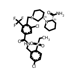 CCS(=O)(=O)c1ccc(Cl)cc1CNC(=O)c1cc(Cl)c(CN2CCC[C@H](N3CCCC[C@H]3C(N)=O)C2)c(C(F)(F)F)c1